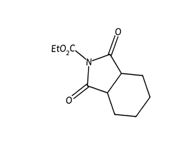 CCOC(=O)N1C(=O)C2CCCCC2C1=O